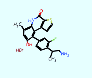 Br.Cc1cc(O)c(-c2ccc(C(C)CN)c(F)c2)c2c1[nH]c(=O)c1sccc12